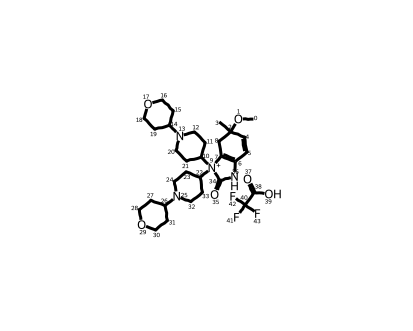 COC1(C)C=CC2=C(C1)[N+](C1CCN(C3CCOCC3)CC1)(C1CCN(C3CCOCC3)CC1)C(=O)N2.O=C(O)C(F)(F)F